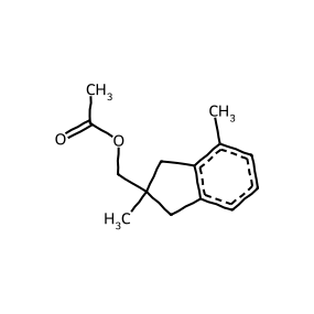 CC(=O)OCC1(C)Cc2cccc(C)c2C1